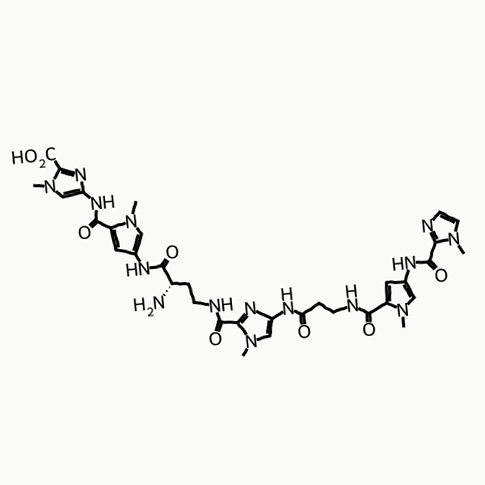 Cn1cc(NC(=O)c2nccn2C)cc1C(=O)NCCC(=O)Nc1cn(C)c(C(=O)NCC[C@H](N)C(=O)Nc2cc(C(=O)Nc3cn(C)c(C(=O)O)n3)n(C)c2)n1